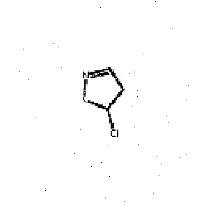 ClC1C[C]=NS1